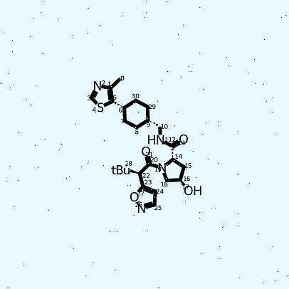 Cc1ncsc1[C@H]1CC[C@@H](CNC(=O)[C@@H]2C[C@@H](O)CN2C(=O)[C@@H](c2ccno2)C(C)(C)C)CC1